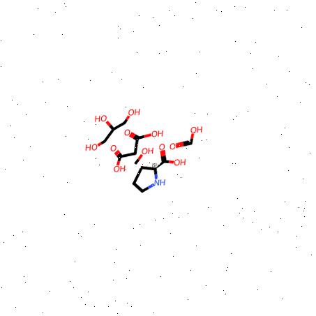 CO.O=C(O)CC(=O)O.O=C(O)[C@@H]1CCCN1.O=CO.OCC(O)CO